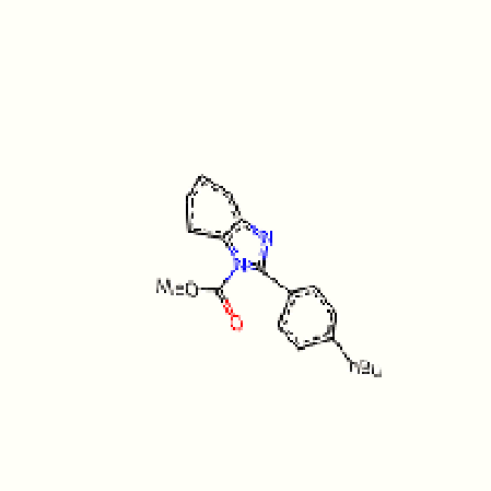 CCCCc1ccc(-c2nc3ccccc3n2C(=O)OC)cc1